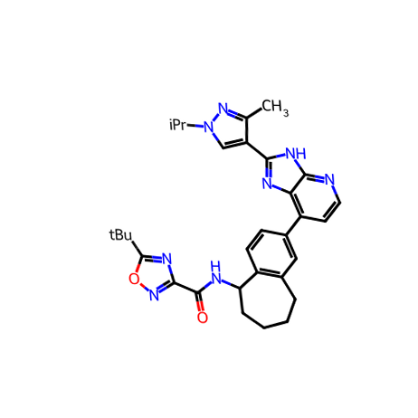 Cc1nn(C(C)C)cc1-c1nc2c(-c3ccc4c(c3)CCCCC4NC(=O)c3noc(C(C)(C)C)n3)ccnc2[nH]1